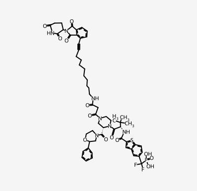 CC(C)(C)[C@H](NC(=O)c1cc2cc(C(F)(F)P(=O)(O)O)ccc2s1)C(=O)N1CCN(C(=O)CC(=O)NCCCCCCCCCC#Cc2cccc3c2C(=O)N(C2CCC(=O)NC2=O)C3=O)C[C@H]1C(=O)N1CCOC(c2ccccc2)C1